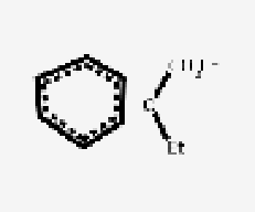 CCOC(=O)OCC.c1ccccc1